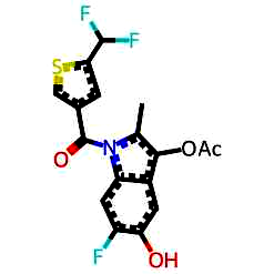 CC(=O)Oc1c(C)n(C(=O)c2csc(C(F)F)c2)c2cc(F)c(O)cc12